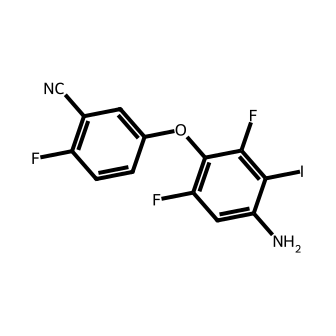 N#Cc1cc(Oc2c(F)cc(N)c(I)c2F)ccc1F